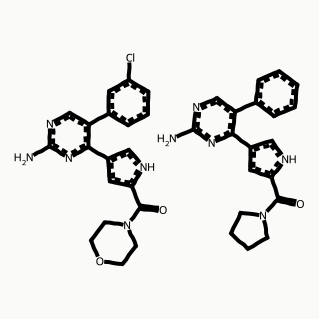 Nc1ncc(-c2cccc(Cl)c2)c(-c2c[nH]c(C(=O)N3CCOCC3)c2)n1.Nc1ncc(-c2ccccc2)c(-c2c[nH]c(C(=O)N3CCCC3)c2)n1